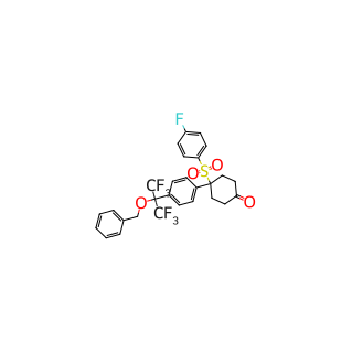 O=C1CCC(c2ccc(C(OCc3ccccc3)(C(F)(F)F)C(F)(F)F)cc2)(S(=O)(=O)c2ccc(F)cc2)CC1